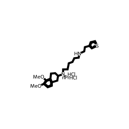 CCCN(CCCCCCNCCc1ccsc1)C1CCc2c(ccc(OC)c2OC)C1.Cl.Cl